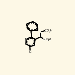 CCCCCCCC(SC(=O)O)c1cc(Cl)nnc1-c1ccccc1